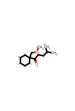 COCC1(C(=O)CCC(C)C)CCCCC1